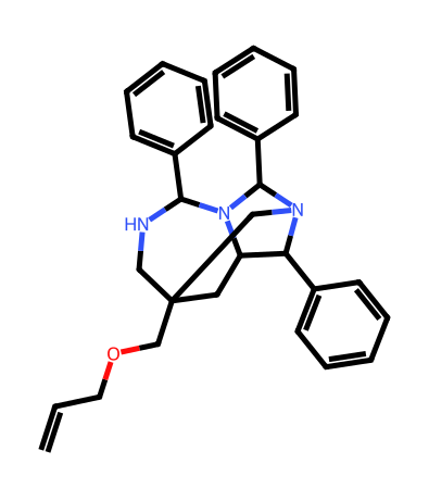 C=CCOCC12CNC(c3ccccc3)N3C(C1)C(c1ccccc1)N(C2)C3c1ccccc1